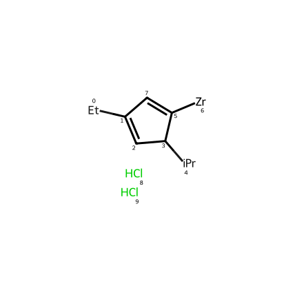 CCC1=CC(C(C)C)[C]([Zr])=C1.Cl.Cl